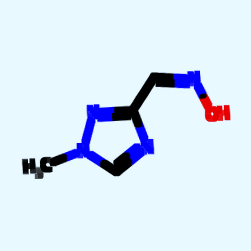 Cn1cnc(/C=N\O)n1